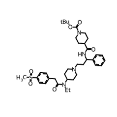 CCN(C(=O)Cc1ccc(S(C)(=O)=O)cc1)C1CCN(CCC(NC(=O)C2CCN(C(=O)OC(C)(C)C)CC2)c2ccccc2)CC1